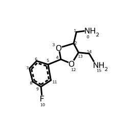 NCC1OC(c2cccc(F)c2)OC1CN